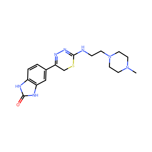 CN1CCN(CCNC2=NN=C(c3ccc4[nH]c(=O)[nH]c4c3)CS2)CC1